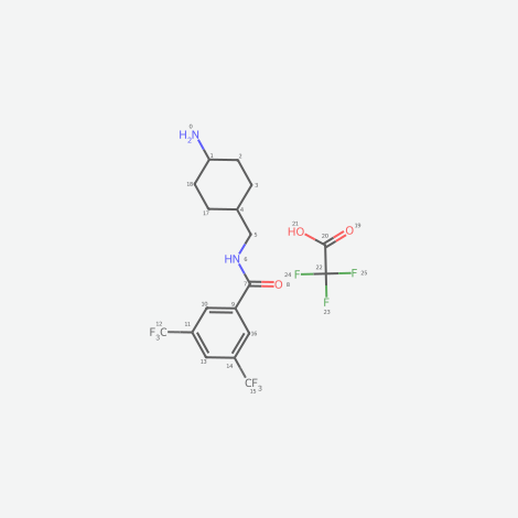 NC1CCC(CNC(=O)c2cc(C(F)(F)F)cc(C(F)(F)F)c2)CC1.O=C(O)C(F)(F)F